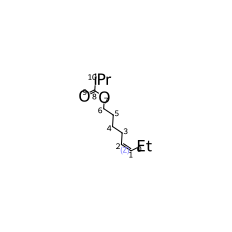 CC/C=C\CCCCOC(=O)C(C)C